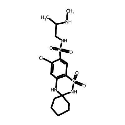 CNC(C)CNS(=O)(=O)c1cc2c(cc1Cl)NC1(CCCCC1)NS2(=O)=O